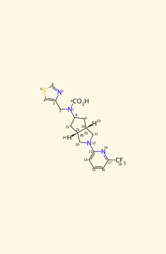 O=C(O)N(Cc1cscn1)C1C[C@@H]2CN(c3cccc(C(F)(F)F)n3)C[C@@H]2C1